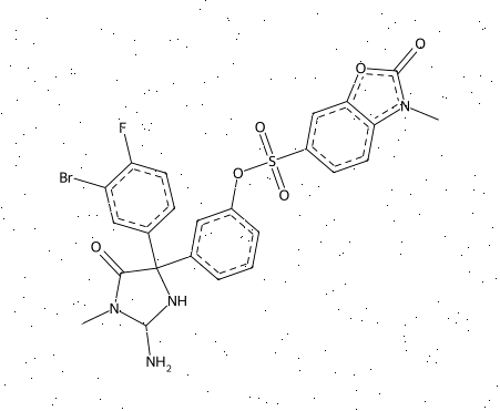 CN1C(=O)C(c2cccc(OS(=O)(=O)c3ccc4c(c3)oc(=O)n4C)c2)(c2ccc(F)c(Br)c2)NC1N